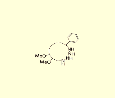 COC1CCCCC(c2ccccc2)NNNNCC1OC